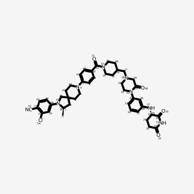 C[C@@H]1CC2(CCN(c3ccc(C(=O)N4CCC(CN5CCN(c6cccc(N[C@H]7CCC(=O)NC7=O)c6)C(=O)C5)CC4)cc3)CC2)CN1c1ccc(C#N)c(Cl)c1